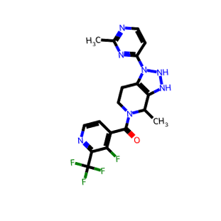 Cc1nccc(N2NNC3=C2CCN(C(=O)c2ccnc(C(F)(F)F)c2F)C3C)n1